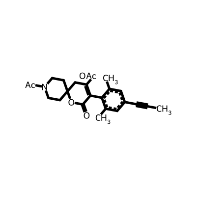 CC#Cc1cc(C)c(C2=C(OC(C)=O)CC3(CCN(C(C)=O)CC3)OC2=O)c(C)c1